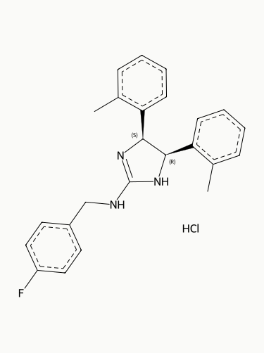 Cc1ccccc1[C@H]1NC(NCc2ccc(F)cc2)=N[C@H]1c1ccccc1C.Cl